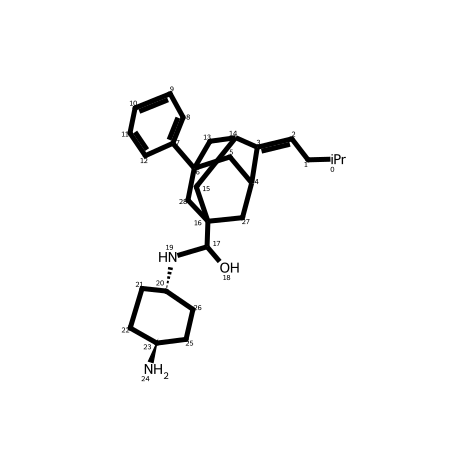 CC(C)CC=C1C2CC3(c4ccccc4)CC1CC(C(O)N[C@H]1CC[C@H](N)CC1)(C2)C3